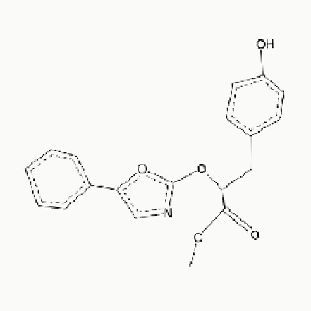 COC(=O)C(Cc1ccc(O)cc1)Oc1ncc(-c2ccccc2)o1